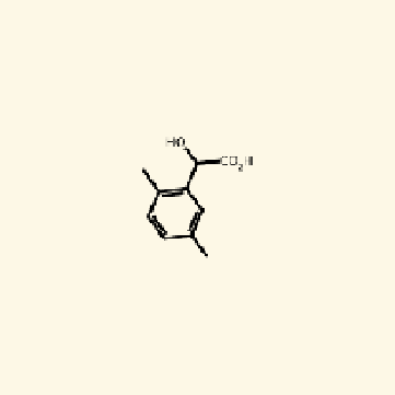 Cc1ccc(C)c(C(O)C(=O)O)c1